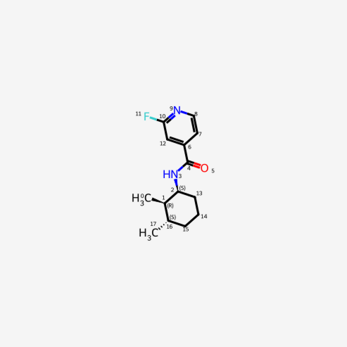 C[C@H]1[C@@H](NC(=O)c2ccnc(F)c2)CCC[C@@H]1C